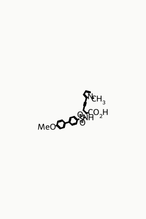 COc1ccc(-c2ccc(S(=O)(=O)NC(CC#Cc3cccn3C)C(=O)O)cc2)cc1